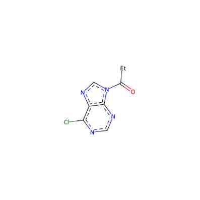 CCC(=O)n1cnc2c(Cl)ncnc21